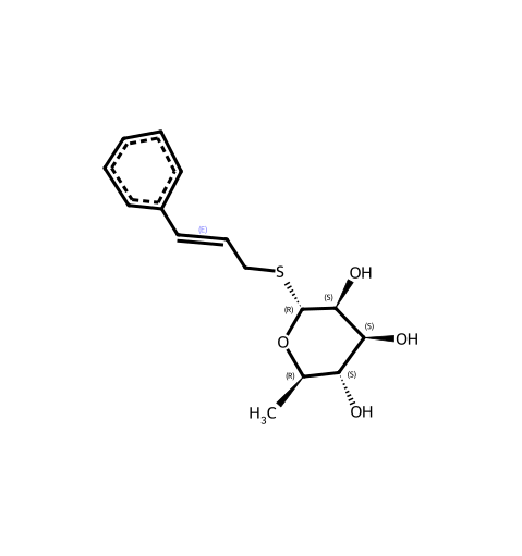 C[C@H]1O[C@H](SC/C=C/c2ccccc2)[C@@H](O)[C@@H](O)[C@@H]1O